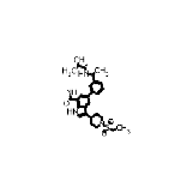 CCS(=O)(=O)N1CCC(c2c[nH]c3c(C(N)=O)cc(-c4cccc(C(C)NCC(C)C)c4)cc23)CC1